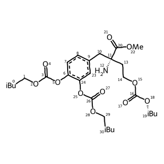 CCC(C)COC(=O)Oc1ccc(C[C@](N)(CCOC(=O)O[C@@H](C)CC)C(=O)OC)cc1OC(=O)OCC(C)CC